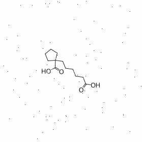 O=C(O)CCCCCC1(C(=O)O)CCCC1